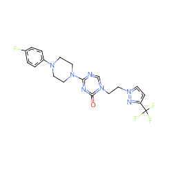 O=c1nc(N2CCN(c3ccc(F)cc3)CC2)ncn1CCn1ccc(C(F)(F)F)n1